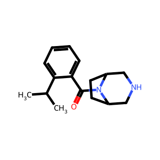 CC(C)c1ccccc1C(=O)N1C2CCC1CNC2